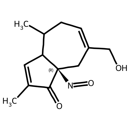 CC1=CC2C(C)CC=C(CO)C[C@]2(N=O)C1=O